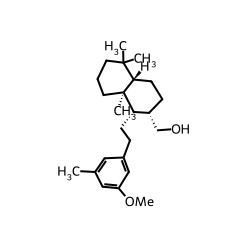 COc1cc(C)cc(CC[C@H]2[C@@H](CO)CC[C@H]3C(C)(C)CCC[C@]23C)c1